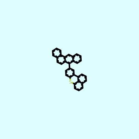 c1ccc2c(-c3ccc4c(c3)-c3cccc5cccc(c35)S4)c3ccc4ccccc4c3cc2c1